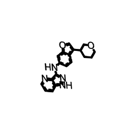 c1cnc2c(Nc3ccc4c(C5CCCOC5)coc4c3)n[nH]c2c1